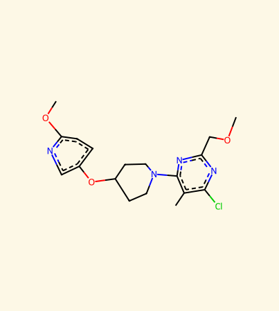 COCc1nc(Cl)c(C)c(N2CCC(Oc3ccc(OC)nc3)CC2)n1